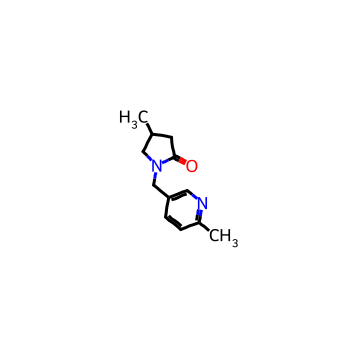 Cc1ccc(CN2CC(C)CC2=O)cn1